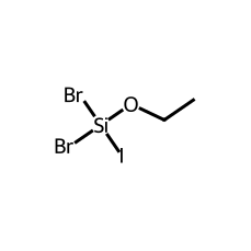 CCO[Si](Br)(Br)I